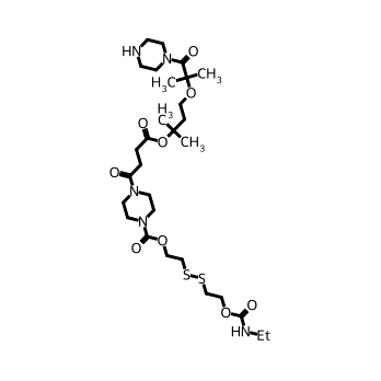 CCNC(=O)OCCSSCCOC(=O)N1CCN(C(=O)CCC(=O)OC(C)(C)CCOC(C)(C)C(=O)N2CCNCC2)CC1